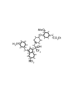 CCOC(=O)Cc1ccc(OC2CCN(CC(O)(c3cn(Cc4cccc(C)c4)c4cc([N+](=O)[O-])ccc34)C(F)(F)F)CC2)c(OC)c1